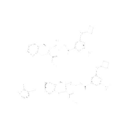 CCN(C)c1cc(C(=O)NC[C@@H](O)[C@@H]2Cc3ccc(O)cc3CN2C(=O)OC(C)(C)C)cc(NC2CCC2)n1.CCN(C)c1cc(C(=O)NC[C@@H](O)[C@@H]2Cc3ccc(OCc4ocnc4C)cc3CN2C(=O)OC(C)(C)C)cc(NC2CCC2)n1